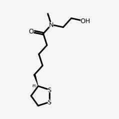 CN(CCO)C(=O)CCCC[C@@H]1CCSS1